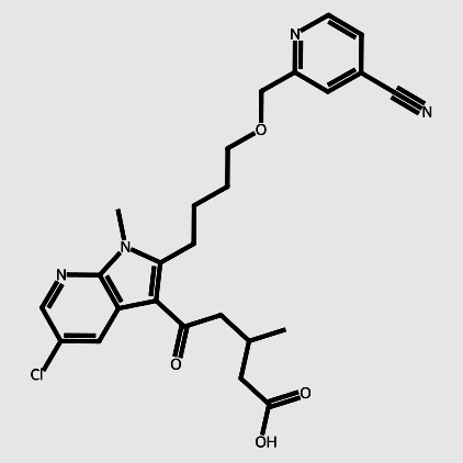 CC(CC(=O)O)CC(=O)c1c(CCCCOCc2cc(C#N)ccn2)n(C)c2ncc(Cl)cc12